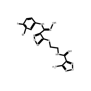 N=C(NCCSc1nonc1/C(=N/O)Nc1ccc(F)c(Br)c1)c1nonc1N